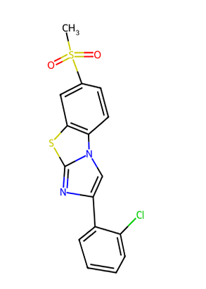 CS(=O)(=O)c1ccc2c(c1)sc1nc(-c3ccccc3Cl)cn12